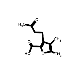 CC(=O)CCc1c(C(=O)O)oc(C)c1C